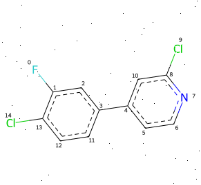 Fc1cc(-c2ccnc(Cl)c2)ccc1Cl